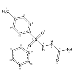 Cc1ccc(S(=O)(=O)NNC(N)=O)cc1.c1cnnnc1